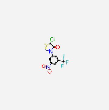 O=C1C(Cl)SCN1c1cc([N+](=O)[O-])cc(C(F)(F)F)c1